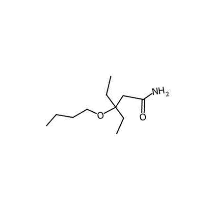 CCCCOC(CC)(CC)CC(N)=O